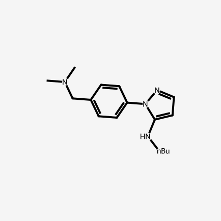 CCCCNc1ccnn1-c1ccc(CN(C)C)cc1